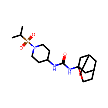 CC(C)S(=O)(=O)N1CCC(NC(=O)NC23CC4CC(CC(C4)O2)C3)CC1